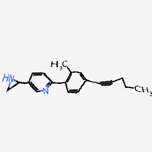 CCCC#Cc1ccc(-c2ccc(C3CN3)cn2)c(C)c1